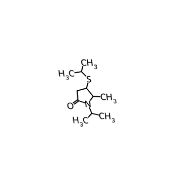 CC(C)SC1CC(=O)N(C(C)C)C1C